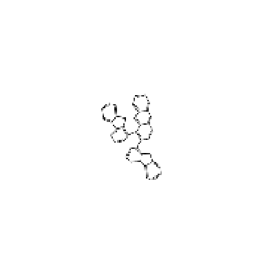 c1ccc2c(c1)Cc1c-2cccc1-c1ccc2cc3ccccc3cc2c1-c1cccc2c1Cc1ccccc1-2